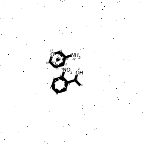 CC(O)c1ccccc1[N+](=O)[O-].Nc1cc2ccc1OC2